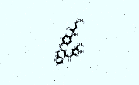 CCCC(=O)Nc1ccc(SN2C=C(Nc3cc(C)[nH]n3)[N+]3C=CN=C3C2)cc1